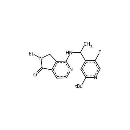 CCN1Cc2c(ccnc2NC(C)c2cc(C(C)(C)C)ncc2F)C1=O